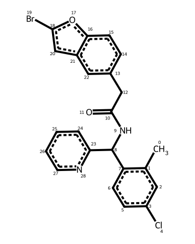 Cc1cc(Cl)ccc1C(NC(=O)Cc1ccc2oc(Br)cc2c1)c1ccccn1